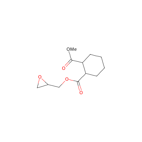 COC(=O)C1CCCCC1C(=O)OCC1CO1